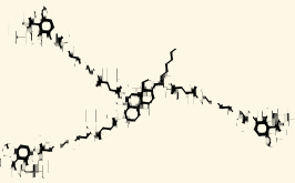 CCCCCC[C@](C)(OC(=O)CCC(=O)NCCOCCOCC(=O)Nc1ccc(OC)c(C(N)=O)c1O)[C@H]1CC[C@H]2[C@@H]3C[C@H](OC(=O)CCC(=O)NCCOCCOCC(=O)Nc4ccc(OC)c(C(N)=O)c4O)[C@H]4C[C@@H](OC(=O)CCC(=O)NCCOCCOCC(=O)Nc5ccc(OC)c(C(N)=O)c5O)CC[C@]4(C)[C@H]3CC[C@@]21C